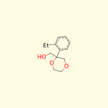 CCc1ccccc1C1(CO)COCCO1